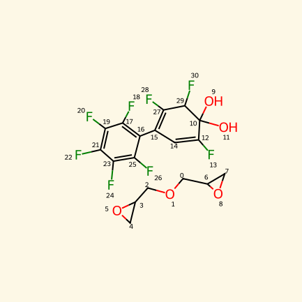 C(OCC1CO1)C1CO1.OC1(O)C(F)=CC(c2c(F)c(F)c(F)c(F)c2F)=C(F)C1F